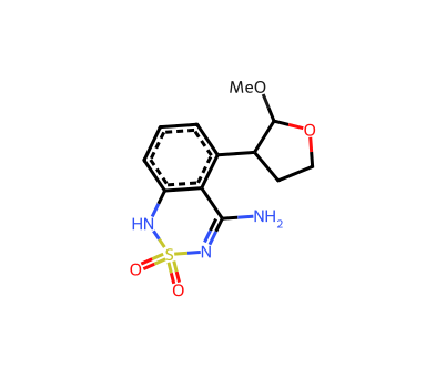 COC1OCCC1c1cccc2c1C(N)=NS(=O)(=O)N2